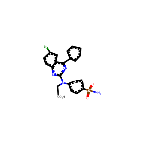 NS(=O)(=O)c1ccc(N(CC(=O)O)c2nc(-c3ccccc3)c3cc(Br)ccc3n2)cc1